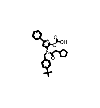 CC(C)(C)c1ccc(CN(C(=O)CC2CCCC2)c2cc(-c3ccccc3)sc2OC(=O)O)cc1